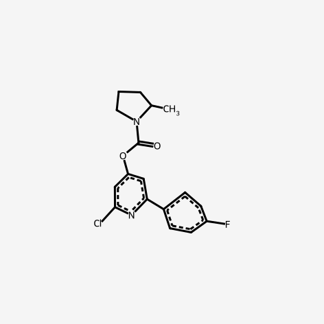 CC1CCCN1C(=O)Oc1cc(Cl)nc(-c2ccc(F)cc2)c1